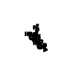 O=C(N[C@H]1CCCN(C(=O)C2CC2)C1)c1cnc(NCCOC(F)F)nc1/N=C\C1CCC(O)CC1